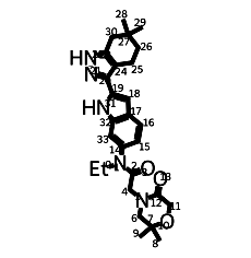 CCN(C(=O)CN1CC(C)(C)OCC1=O)c1ccc2cc(-c3n[nH]c4c3CCC(C)(C)C4)[nH]c2c1